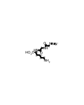 [N-]=[N+]=NCC(=O)NCC(=O)N[C@@H](CCCCN)C(=O)O